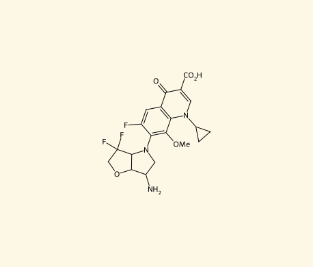 COc1c(N2CC(N)C3OCC(F)(F)C32)c(F)cc2c(=O)c(C(=O)O)cn(C3CC3)c12